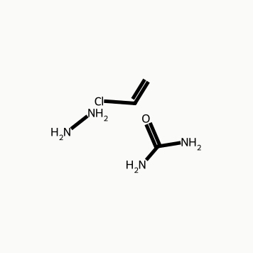 C=CCl.NC(N)=O.NN